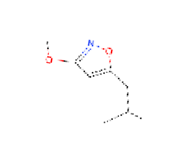 COc1cc(CC(C)C)on1